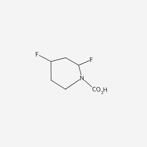 O=C(O)N1CCC(F)CC1F